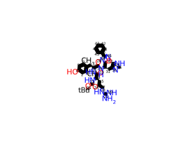 Cc1cc(O)cc(C)c1C[C@H](NC(=O)[C@@H](CCCNC(=N)N)NC(=O)OC(C)(C)C)C(=O)N[C@@H](Cc1c[nH]cn1)c1nc(-c2ccccc2)no1